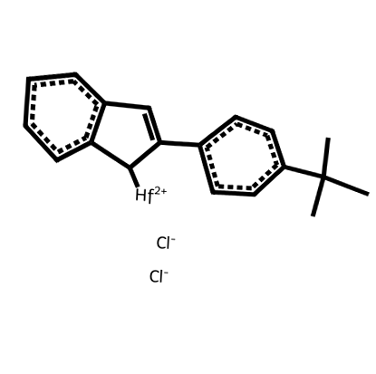 CC(C)(C)c1ccc(C2=Cc3ccccc3[CH]2[Hf+2])cc1.[Cl-].[Cl-]